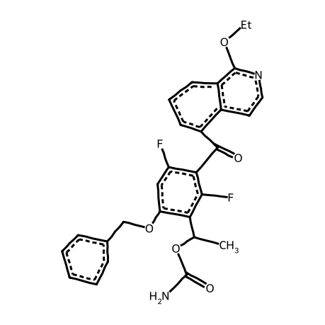 CCOc1nccc2c(C(=O)c3c(F)cc(OCc4ccccc4)c(C(C)OC(N)=O)c3F)cccc12